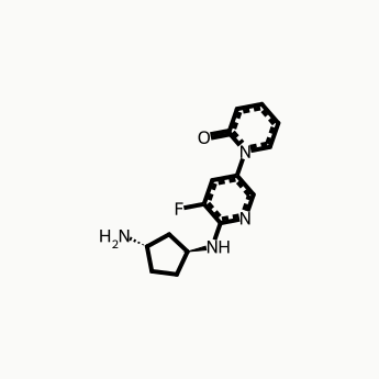 N[C@H]1CC[C@H](Nc2ncc(-n3ccccc3=O)cc2F)C1